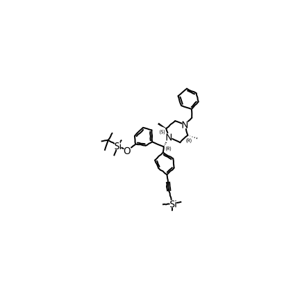 C[C@@H]1CN([C@H](c2ccc(C#C[Si](C)(C)C)cc2)c2cccc(O[Si](C)(C)C(C)(C)C)c2)[C@@H](C)CN1Cc1ccccc1